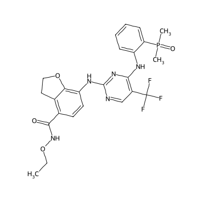 CCONC(=O)c1ccc(Nc2ncc(C(F)(F)F)c(Nc3ccccc3P(C)(C)=O)n2)c2c1CCO2